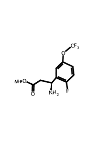 COC(=O)C[C@H](N)c1cc(OC(F)(F)F)ccc1F